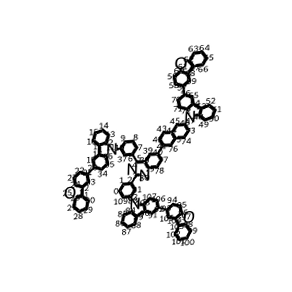 c1cc(-c2nc(-c3cccc(-n4c5ccccc5c5cc(-c6ccc7oc8ccccc8c7c6)ccc54)c3)c3cc(-c4ccc5cc(-n6c7ccccc7c7cc(-c8ccc9oc%10ccccc%10c9c8)ccc76)ccc5c4)ccc3n2)cc(-n2c3ccccc3c3cc(-c4ccc5oc6ccccc6c5c4)ccc32)c1